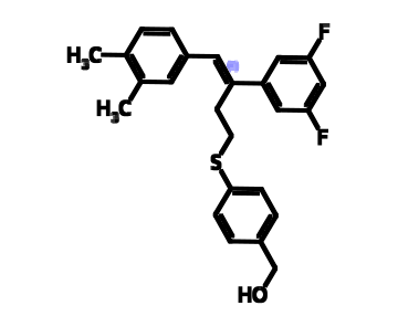 Cc1ccc(/C=C(\CCSc2ccc(CO)cc2)c2cc(F)cc(F)c2)cc1C